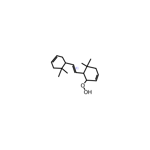 CC1(C)CC=CCC1/C=C/C1C(OO)C=CCC1(C)C